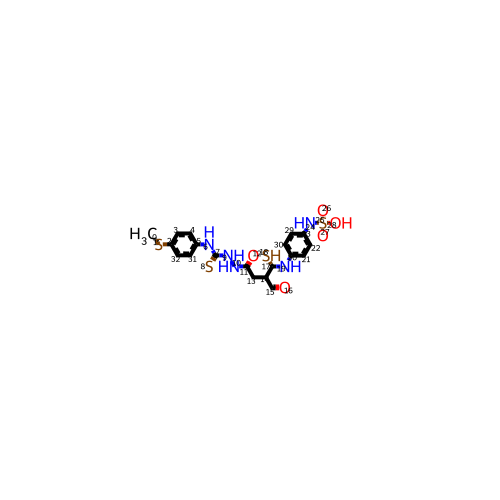 CSc1ccc(NC(=S)NNC(=O)CC(C=O)C(S)Nc2ccc(NS(=O)(=O)O)cc2)cc1